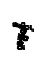 CN(C(=O)OC(C)(C)C)C1CCN(c2nnc(-c3ccc(C#N)cc3)c3ccccc23)CC1